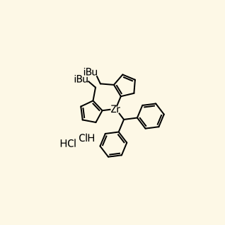 CCC(C)CC1=[C]([Zr]([C]2=C(CC(C)CC)C=CC2)[CH](c2ccccc2)c2ccccc2)CC=C1.Cl.Cl